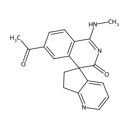 CNC1=NC(=O)C2(CCc3ncccc32)c2cc(C(C)=O)ccc21